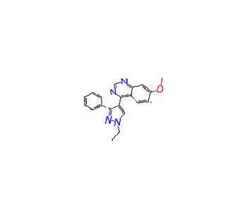 CCn1cc(-c2ncnc3cc(OC)[c]cc23)c(-c2ccccc2)n1